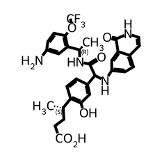 C[C@@H](CCC(=O)O)c1ccc(C(Nc2ccc3cc[nH]c(=O)c3c2)C(=O)N[C@H](C)c2cc(N)ccc2OC(F)(F)F)cc1O